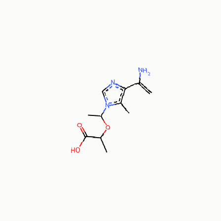 C=C(N)c1ncn(C(C)OC(C)C(=O)O)c1C